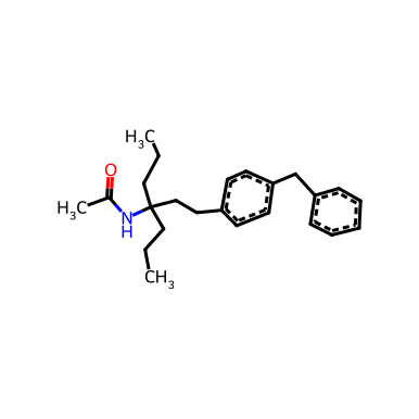 CCCC(CCC)(CCc1ccc(Cc2ccccc2)cc1)NC(C)=O